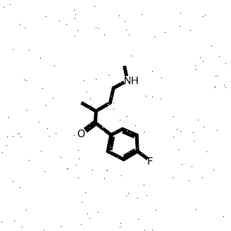 CNCCC(C)C(=O)c1ccc(F)cc1